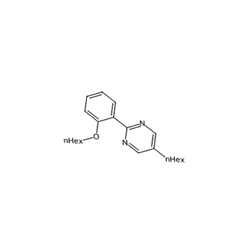 CCCCCCOc1ccccc1-c1ncc(CCCCCC)cn1